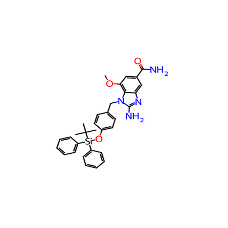 COc1cc(C(N)=O)cc2nc(N)n(Cc3ccc(O[Si](c4ccccc4)(c4ccccc4)C(C)(C)C)cc3)c12